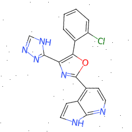 Clc1ccccc1-c1oc(-c2ccnc3[nH]ccc23)nc1-c1nnc[nH]1